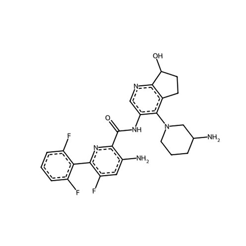 Nc1cc(F)c(-c2c(F)cccc2F)nc1C(=O)Nc1cnc2c(c1N1CCCC(N)C1)CCC2O